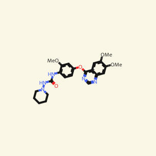 COc1cc(Oc2ncnc3cc(OC)c(OC)cc23)ccc1NC(=O)NN1CCCCC1